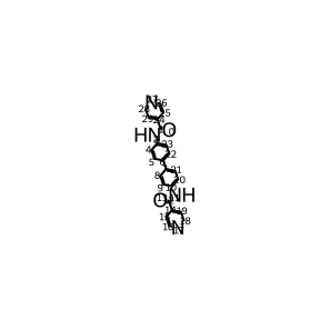 O=C(Nc1ccc(-c2ccc(NC(=O)c3ccncc3)cc2)cc1)c1ccncc1